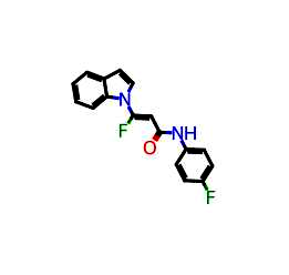 O=C(C=C(F)n1ccc2ccccc21)Nc1ccc(F)cc1